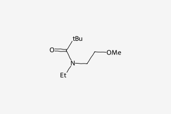 CCN(CCOC)C(=O)C(C)(C)C